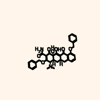 CN(C)[C@@H]1C(OCc2ccccc2)=C(C(N)=O)C(=O)[C@@]2(O)C(O)=C3C(=O)c4c(cccc4OCc4ccccc4)C[C@H]3C[C@@H]12